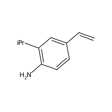 C=Cc1ccc(N)c(C(C)C)c1